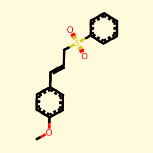 COc1ccc(C=CCS(=O)(=O)c2ccccc2)cc1